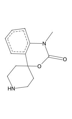 CN1C(=O)OC2(CCNCC2)c2ccccc21